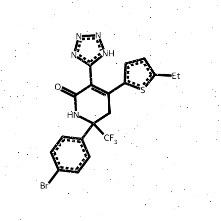 CCc1ccc(C2=C(c3nnn[nH]3)C(=O)NC(c3ccc(Br)cc3)(C(F)(F)F)C2)s1